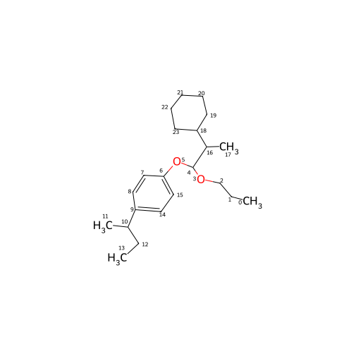 CCCOC(Oc1ccc(C(C)CC)cc1)C(C)C1CCCCC1